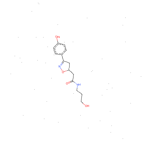 O=C(CC1CC(c2ccc(O)cc2)=NO1)NCCCO